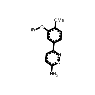 COc1ccc(-c2ccc(N)nn2)cc1OC(C)C